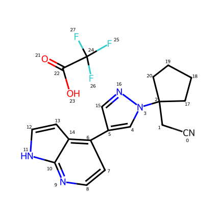 N#CCC1(n2cc(-c3ccnc4[nH]ccc34)cn2)CCCC1.O=C(O)C(F)(F)F